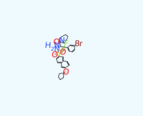 CN(C(C(=O)N1C2CCC1CC(N)C2)C(F)(F)c1cccc(Br)c1)S(=O)(=O)c1ccc2cc(OC3CCCC3)ccc2c1